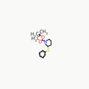 CC(C)(C)OC(=O)N1CCCC(Sc2ccccc2)C1